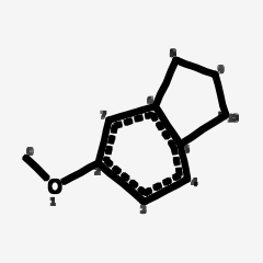 COc1ccc2c(c1)CC[C]2